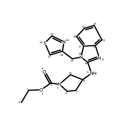 CCOC(=O)N1CCC(Nc2nc3ccccc3n2Cc2cscn2)C1